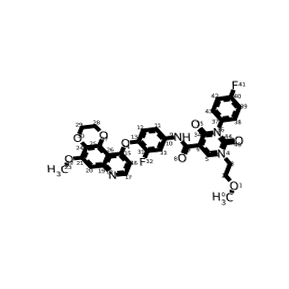 COCCn1cc(C(=O)Nc2ccc(Oc3ccnc4cc(OC)c5c(c34)OCCO5)c(F)c2)c(=O)n(-c2ccc(F)cc2)c1=O